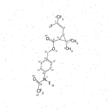 CC1(C)C(C=C(F)C(F)(F)F)C1C(=O)OCc1ccc(N(F)C(=O)C(F)(F)F)cc1